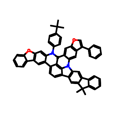 CC(C)(C)c1ccc(N2B3c4cc5occ(-c6ccccc6)c5cc4-n4c5cc6c(cc5c5ccc(c3c54)-c3cc4c(cc32)oc2ccccc24)C(C)(C)c2ccccc2-6)cc1